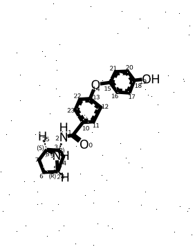 O=C(N[C@@H]1C[C@H]2CC[C@@H]1N2)c1ccc(Oc2ccc(O)cc2)cc1